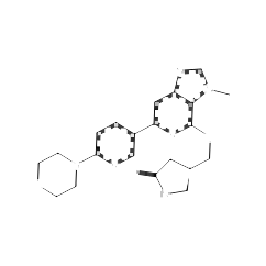 C[C@@H](Oc1nc(-c2ccc(N3CCOCC3)nc2)cc2ncn(C)c12)[C@H]1CNC(=O)C1